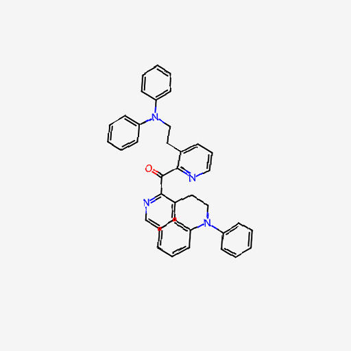 O=C(c1ncccc1CCN(c1ccccc1)c1ccccc1)c1ncccc1CCN(c1ccccc1)c1ccccc1